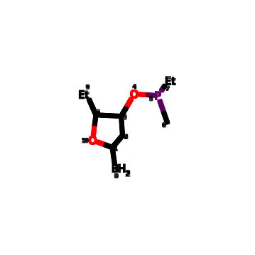 BC1CC(OP(C)CC)C(CC)O1